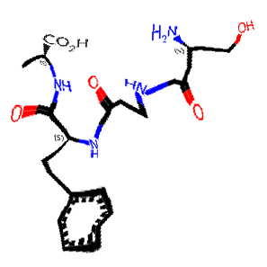 C[C@H](NC(=O)[C@H](Cc1ccccc1)NC(=O)CNC(=O)[C@@H](N)CO)C(=O)O